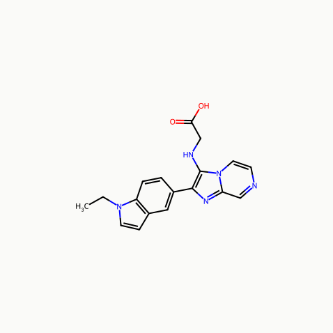 CCn1ccc2cc(-c3nc4cnccn4c3NCC(=O)O)ccc21